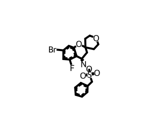 O=S(=O)(Cc1ccccc1)O/N=C1\CC2(CCOCC2)Oc2cc(Br)cc(F)c21